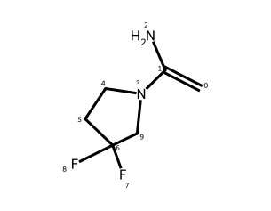 C=C(N)N1CCC(F)(F)C1